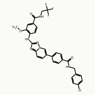 COc1cc(C(=O)NCC(F)(F)F)ccc1Nc1nc2ccc(-c3ccc(C(=O)NCc4ccc(Cl)cc4)cc3)cn2n1